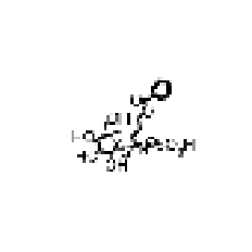 O=C(OCCC/C(=N\OS(=O)(=O)O)S[C@@H]1O[C@H](CO)[C@@H](O)[C@H](O)[C@H]1O)c1ccccc1